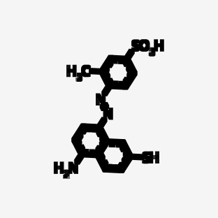 Cc1cc(S(=O)(=O)O)ccc1N=Nc1ccc(N)c2ccc(S)cc12